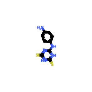 Nc1ccc(Nc2nc(=S)[nH]c(=S)[nH]2)cc1